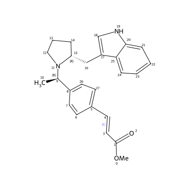 COC(=O)/C=C/c1ccc([C@@H](C)N2CCC[C@@H]2Cc2c[nH]c3ccccc23)cc1